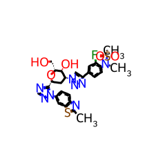 Cc1nc2ccc(-n3ncnc3[C@H]3C[C@@H](n4cc(-c5ccc(N(C)S(C)(=O)=O)c(F)c5)nn4)[C@@H](O)[C@@H](CO)O3)cc2s1